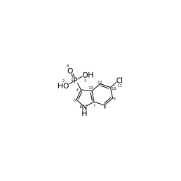 O=P(O)(O)c1c[nH]c2ccc(Cl)cc12